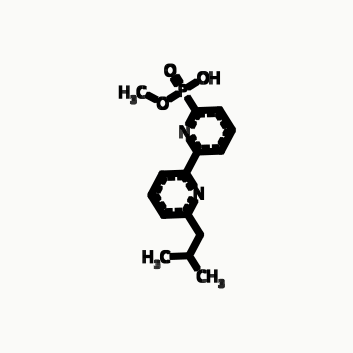 COP(=O)(O)c1cccc(-c2cccc(CC(C)C)n2)n1